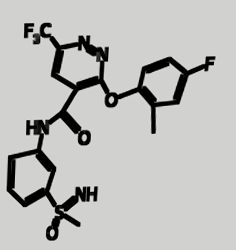 Cc1cc(F)ccc1Oc1nnc(C(F)(F)F)cc1C(=O)Nc1cccc(S(C)(=N)=O)c1